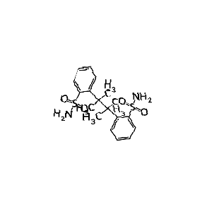 CC(C)(c1ccccc1S(N)(=O)=O)C(C)(C)c1ccccc1S(N)(=O)=O